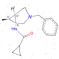 C[C@H]1[C@H]2CN(Cc3ccccc3)C[C@]21NC(=O)C1CC1